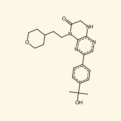 CC(C)(O)c1ccc(-c2cnc3c(n2)N(CCC2CCOCC2)C(=O)CN3)cc1